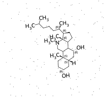 CC(C)CCC[C@@H](C)[C@H]1CCC2C3C(CN(C)[C@@]21C)[C@@]1(C)CC[C@@H](O)C[C@H]1C[C@H]3O